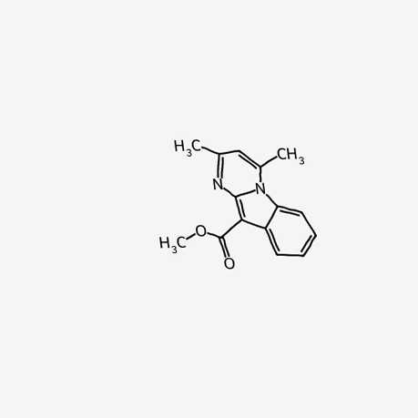 COC(=O)c1c2ccccc2n2c(C)cc(C)nc12